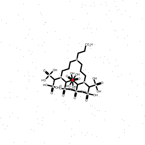 O=C(O)CCN(CCCN(C(P(=O)(O)O)P(=O)(O)O)C(P(=O)(O)O)P(=O)(O)O)CCCN(C(P(=O)(O)O)P(=O)(O)O)C(P(=O)(O)O)P(=O)(O)O